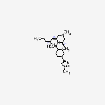 C=C/C=C(C)\C=C1\CN(C)C/C(=C/C)N1C(=C)C1CC=C(c2csc(C)n2)CC1